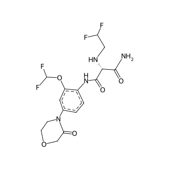 NC(=O)[C@@H](NCC(F)F)C(=O)Nc1ccc(N2CCOCC2=O)cc1OC(F)F